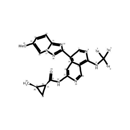 [2H]C([2H])([2H])Nc1ncc(-c2nc3ccc(OC)cn3n2)c2cc(NC(=O)[C@H]3C[C@H]3C)ncc12